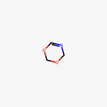 [CH]1OC=NCO1